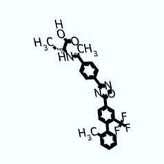 CC[C@@H](N[C@H](C)c1ccc(-c2noc(-c3ccc(-c4ccccc4C)c(C(F)(F)F)c3)n2)cc1)C(=O)O